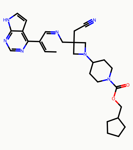 C/C=C(\C=N/CC1(CC#N)CN(C2CCN(C(=O)OCC3CCCC3)CC2)C1)c1ncnc2[nH]ccc12